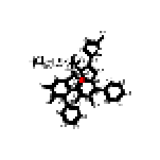 CC1=Cc2c(cc(C)c(C)c2-c2ccccc2)[CH]1[Zr]([CH3])([CH3])(=[SiH2])[CH]1C(c2ccc(C)o2)=Cc2c1cc(C)c(C)c2-c1ccccc1.Cl.Cl